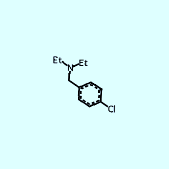 CCN(CC)Cc1ccc(Cl)cc1